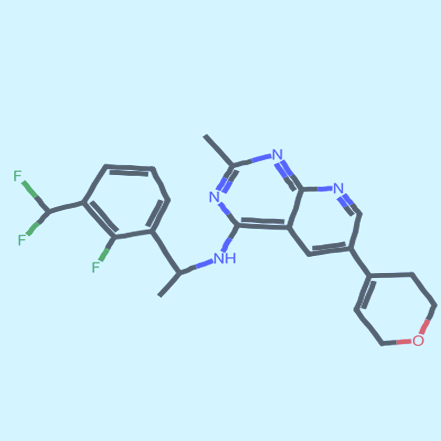 Cc1nc(NC(C)c2cccc(C(F)F)c2F)c2cc(C3=CCOCC3)cnc2n1